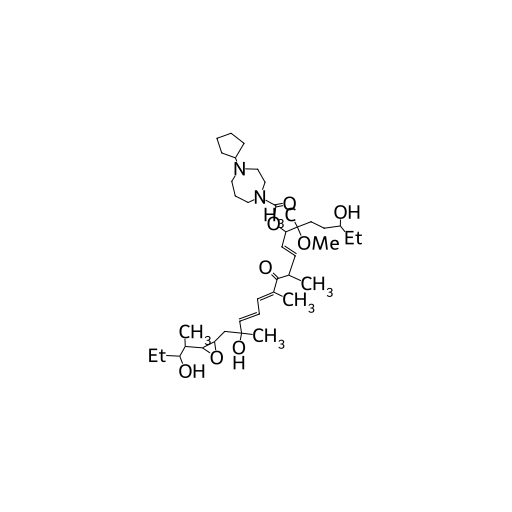 CCC(O)CCC(C)(OC)C(/C=C/C(C)C(=O)/C(C)=C/C=C/C(C)(O)CC1OC1C(C)C(O)CC)OC(=O)N1CCCN(C2CCCC2)CC1